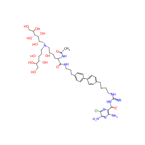 CC(=O)NC(CCCCN(C[C@H](O)[C@@H](O)[C@H](O)[C@H](O)CO)C[C@H](O)[C@@H](O)[C@H](O)[C@H](O)CO)C(=O)NCCCc1ccc(-c2ccc(CCCCNC(=N)NC(=O)c3nc(Cl)c(N)nc3N)cc2)cc1